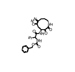 CC(C)C(NC(=O)OCc1ccccc1)C(=O)NC1Cc2onnc2CCCNC(=O)C1=O